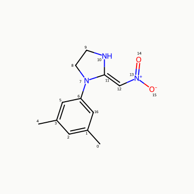 Cc1cc(C)cc(N2CCNC2=C[N+](=O)[O-])c1